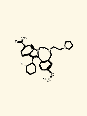 COc1ccc2c(c1)CN(CCN1CCCC1)CCn1c-2c([C@H]2CCCC[C@@H]2F)c2ccc(C(=O)O)cc21